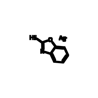 Sc1nc2ccccc2o1.[Ag]